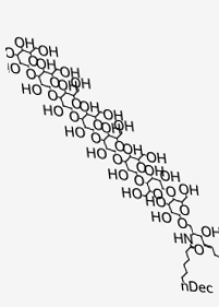 CCCCCCCCCCCCC/C=C/[C@@H](O)[C@H](CO[C@@H]1OC(CO)[C@@H](O[C@@H]2OC(CO)[C@H](O[C@@H]3OC(CO)[C@H](O)[C@H](O[C@H]4OC(CO)[C@H](O)[C@H](O[C@H]5OC(CO)[C@H](O)[C@H](O[C@H]6OC(CO)[C@H](O)[C@H](O[C@H]7OC(CO)[C@H](O)[C@H](O[C@H]8OC(CO)[C@H](O)[C@H](O)C8O)C7O)C6O)C5O)C4O)C3O)[C@H](O)C2O)[C@H](O)C1O)NC(=O)CCCCCCCCCCCCCCC